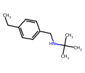 CCc1ccc(CNC(C)(C)C)cc1